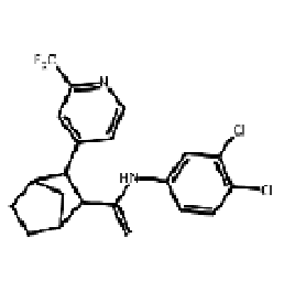 C=C(Nc1ccc(Cl)c(Cl)c1)C1C2CCC(C2)C1c1ccnc(C(F)(F)F)c1